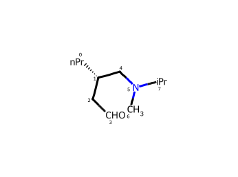 CCC[C@@H](CC=O)CN(C)C(C)C